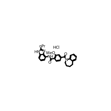 CCCc1nc2c(NC(=O)c3ccc(C(=O)N4CCCCc5ccccc54)cc3OC)cccc2[nH]1.Cl